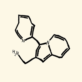 NCc1cc2ccccn2c1-c1ccccn1